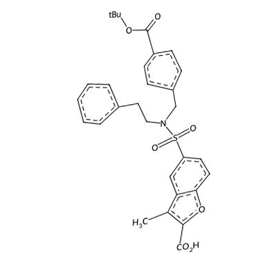 Cc1c(C(=O)O)oc2ccc(S(=O)(=O)N(CCc3ccccc3)Cc3ccc(C(=O)OC(C)(C)C)cc3)cc12